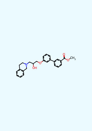 COC(=O)c1cccc(-c2cccc(OCC(O)CN3CCc4ccccc4C3)c2)c1